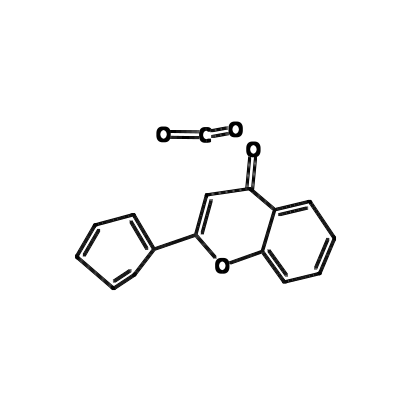 O=C=O.O=c1cc(-c2ccccc2)oc2ccccc12